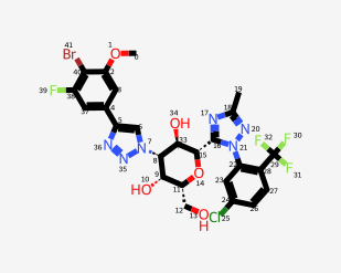 COc1cc(-c2cn([C@H]3[C@@H](O)[C@@H](CO)O[C@@H](c4nc(C)nn4-c4cc(Cl)ccc4C(F)(F)F)[C@@H]3O)nn2)cc(F)c1Br